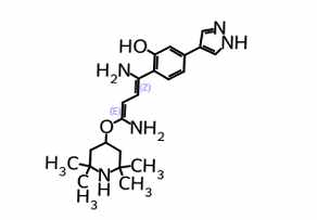 CC1(C)CC(O/C(N)=C/C=C(\N)c2ccc(-c3cn[nH]c3)cc2O)CC(C)(C)N1